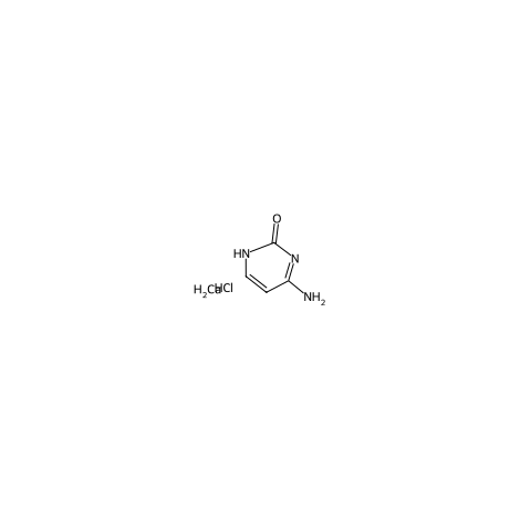 Cl.Nc1cc[nH]c(=O)n1.[CaH2]